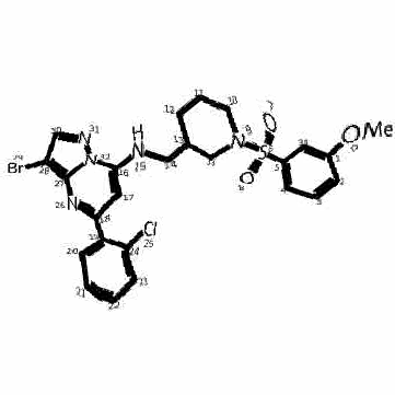 COc1cccc(S(=O)(=O)N2CCCC(CNc3cc(-c4ccccc4Cl)nc4c(Br)cnn34)C2)c1